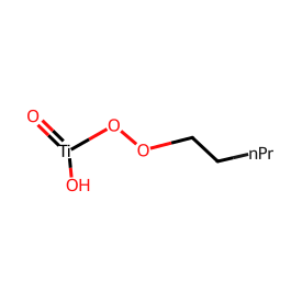 CCCCCO[O][Ti](=[O])[OH]